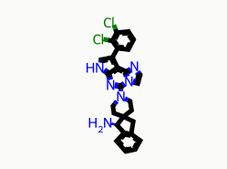 N[C@@H]1c2ccccc2CC12CCN(c1nc3[nH]cc(-c4cccc(Cl)c4Cl)c3c3nccn13)CC2